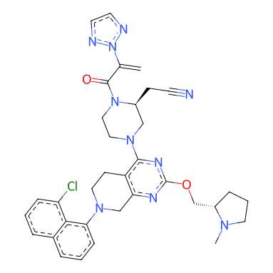 C=C(C(=O)N1CCN(c2nc(OC[C@@H]3CCCN3C)nc3c2CCN(c2cccc4cccc(Cl)c24)C3)C[C@@H]1CC#N)n1nccn1